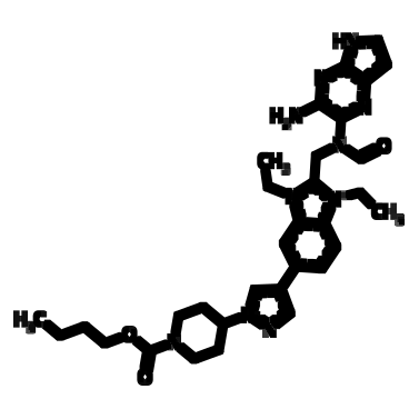 CCCCOC(=O)N1CCC(n2cc(-c3ccc4c(c3)n(CC)c(CN(C=O)c3nc5cc[nH]c5nc3N)[n+]4CC)cn2)CC1